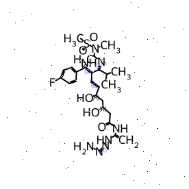 C=C(N/N=N\N)NC(=O)C[C@H](O)C[C@@H](O)/C=C/C(C(=N\C(=C)N(C)S(C)(=O)=O)/C(C)C)=C(/N)c1ccc(F)cc1